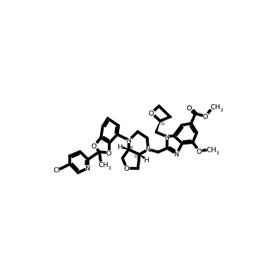 COC(=O)c1cc(OC)c2nc(CN3CCN(c4cccc5c4OC(C)(c4ccc(Cl)cn4)O5)[C@H]4COC[C@H]43)n(C[C@@H]3CCO3)c2c1